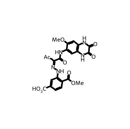 COC(=O)c1ccc(C(=O)O)cc1N/N=C(/C(C)=O)C(=O)Nc1cc2[nH]c(=O)c(=O)[nH]c2cc1OC